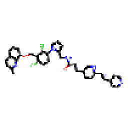 Cc1ccc2cccc(OCc3c(Cl)ccc(-n4cccc4CNC(=O)/C=C/c4ccc(/C=C/c5ccncc5)nc4)c3Cl)c2n1